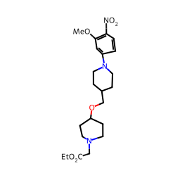 CCOC(=O)CN1CCC(OCC2CCN(c3ccc([N+](=O)[O-])c(OC)c3)CC2)CC1